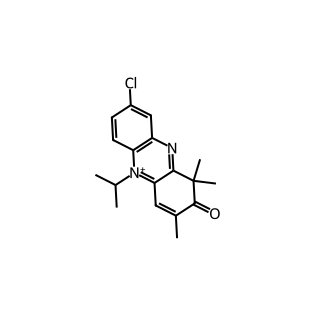 CC1=Cc2c(nc3cc(Cl)ccc3[n+]2C(C)C)C(C)(C)C1=O